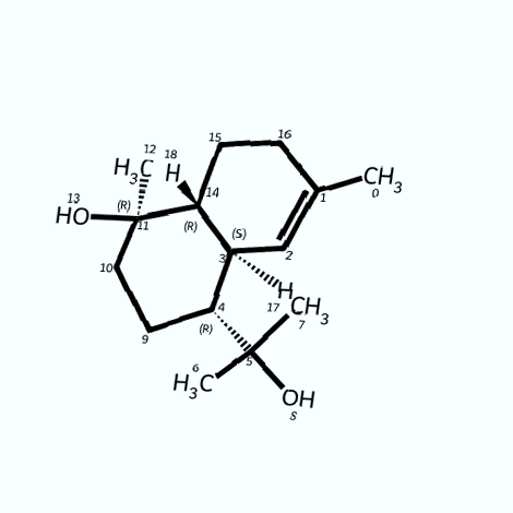 CC1=C[C@H]2[C@H](C(C)(C)O)CC[C@@](C)(O)[C@@H]2CC1